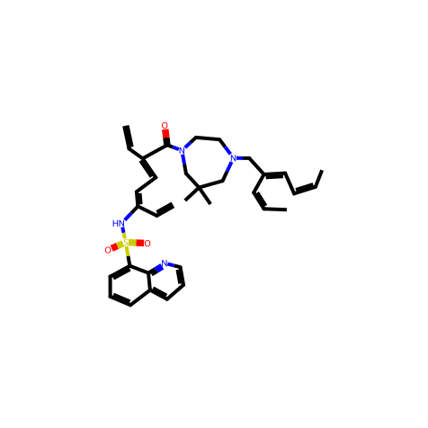 C=C/C(=C\C=C(/C=C)C(=O)N1CCN(CC(/C=C\C)=C/C=C\C)CC(C)(C)C1)NS(=O)(=O)c1cccc2cccnc12